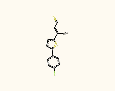 CCCCC(=CC=S)c1ccc(-c2ccc(F)cc2)s1